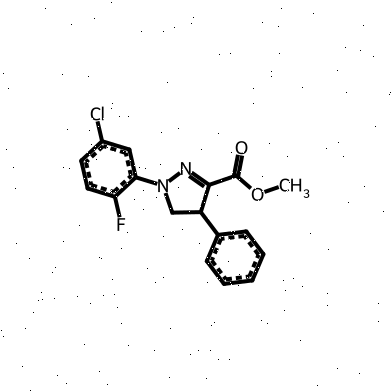 COC(=O)C1=NN(c2cc(Cl)ccc2F)CC1c1ccccc1